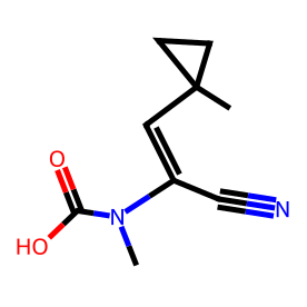 CN(C(=O)O)C(C#N)=CC1(C)CC1